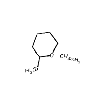 C.[PoH2].[SiH3]C1CCCCO1